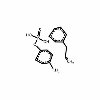 C=CCc1ccccc1.Cc1ccc(OP(O)(O)=S)cc1